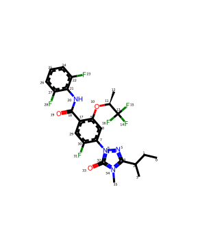 CCC(C)c1nn(-c2cc(O[C@@H](C)C(F)(F)F)c(C(=O)Nc3c(F)cccc3F)cc2F)c(=O)n1C